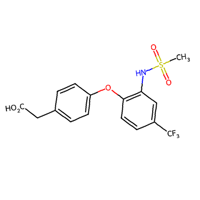 CS(=O)(=O)Nc1cc(C(F)(F)F)ccc1Oc1ccc(CC(=O)O)cc1